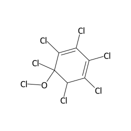 ClOC1(Cl)C(Cl)=C(Cl)C(Cl)=C(Cl)C1Cl